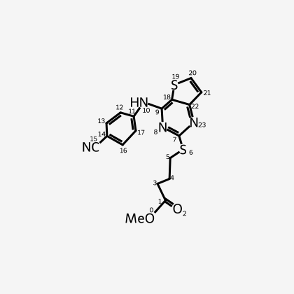 COC(=O)CCCSc1nc(Nc2ccc(C#N)cc2)c2sccc2n1